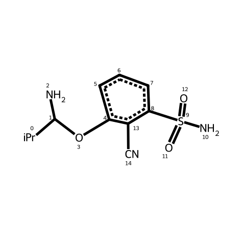 CC(C)C(N)Oc1cccc(S(N)(=O)=O)c1C#N